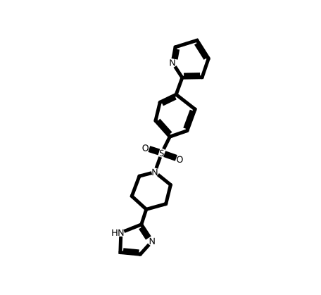 O=S(=O)(c1ccc(-c2ccccn2)cc1)N1CCC(c2ncc[nH]2)CC1